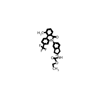 CCOC(=O)N[C@H]1Cc2ccc(NC(=O)c3cccc(C)c3-c3ccc(C(F)(F)F)cc3)cc2C1